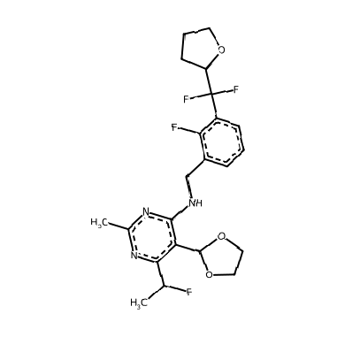 Cc1nc(NCc2cccc(C(F)(F)C3CCCO3)c2F)c(C2OCCO2)c(C(C)F)n1